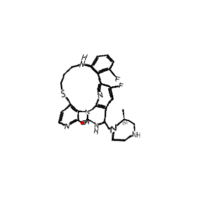 CC(C)c1nccc2c1N1C(=O)NC(N3CCNC[C@@H]3C)c3cc(F)c(nc31)-c1c(F)cccc1NCCCS2